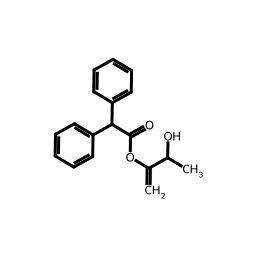 C=C(OC(=O)C(c1ccccc1)c1ccccc1)C(C)O